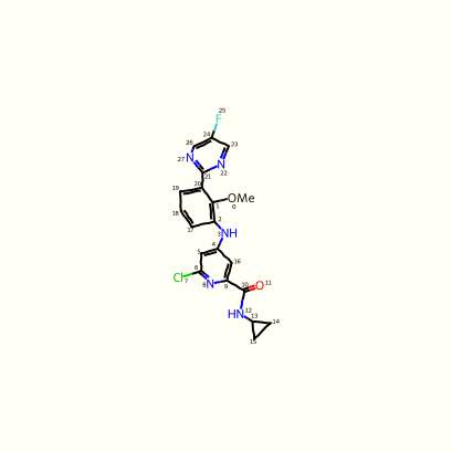 COc1c(Nc2cc(Cl)nc(C(=O)NC3CC3)c2)cccc1-c1ncc(F)cn1